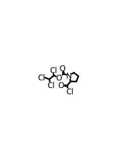 O=C(Cl)C1CCCN1C(=O)OC(Cl)C(Cl)Cl